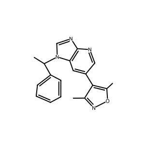 Cc1noc(C)c1-c1cnc2ncn(C(C)c3ccccc3)c2c1